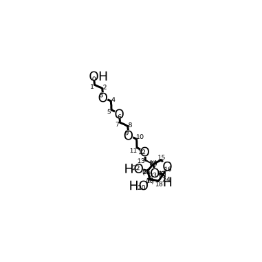 OCCOCCOCCOCCOC[C@]12CO[C@H](C[C@@H](O)[C@H]1O)O2